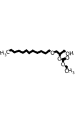 CCCCCCCCCCCCOCC(CO)OC(=O)OCC